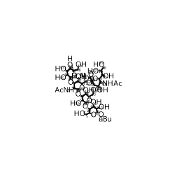 CCCCO[C@@H]1OC(CO)[C@@H](O[C@@H]2OC(CO)[C@H](O)C(O[C@@H]3OC(CO[C@]4(C(=O)ON)CC(O)[C@@H](NC(C)=O)C([C@H](O)[C@H](O)CO)O4)[C@@H](O)C(O[C@@H]4OC(CO)[C@H](O)C(O)C4O)C3NC(C)=O)C2O)C(O)C1O